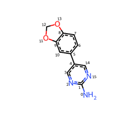 Nc1ncc(-c2ccc3c(c2)OCO3)cn1